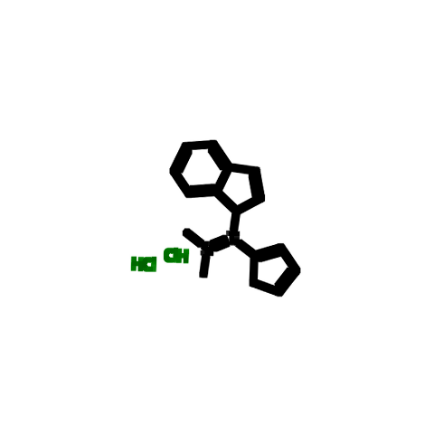 C[Si](C)=[Ti]([C]1=CC=CC1)[CH]1C=Cc2ccccc21.Cl.Cl